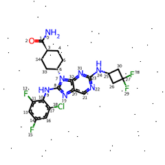 NC(=O)[C@H]1CC[C@H](n2c(Nc3c(F)cc(F)cc3Cl)nc3cnc(NC4CC(F)(F)C4)nc32)CC1